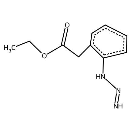 CCOC(=O)Cc1ccccc1NN=N